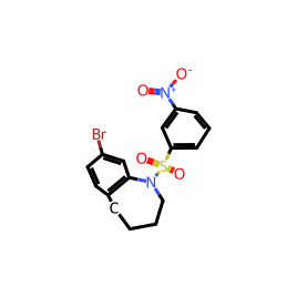 O=[N+]([O-])c1cccc(S(=O)(=O)N2CCCCc3ccc(Br)cc32)c1